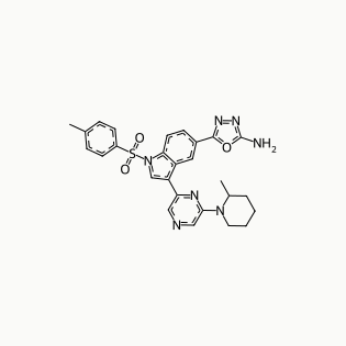 Cc1ccc(S(=O)(=O)n2cc(-c3cncc(N4CCCCC4C)n3)c3cc(-c4nnc(N)o4)ccc32)cc1